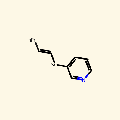 CCCC=C[Se]c1c[c]cnc1